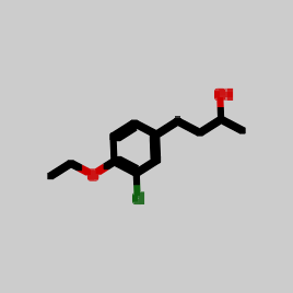 CCOc1ccc([CH]CC(C)O)cc1Cl